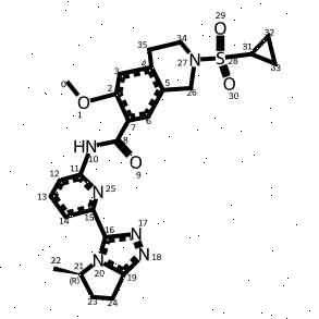 COc1cc2c(cc1C(=O)Nc1cccc(-c3nnc4n3[C@H](C)CC4)n1)CN(S(=O)(=O)C1CC1)CC2